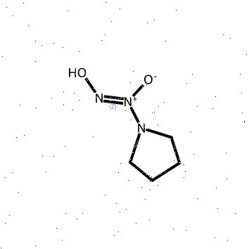 [O-]/[N+](=N\O)N1CCCC1